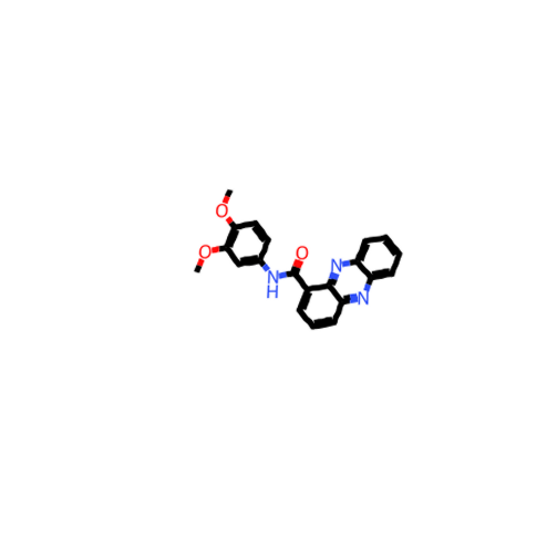 COc1ccc(NC(=O)c2cccc3nc4ccccc4nc23)cc1OC